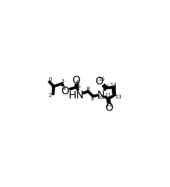 CC(C)COC(=O)NCCN1C(=O)C=CC1=O